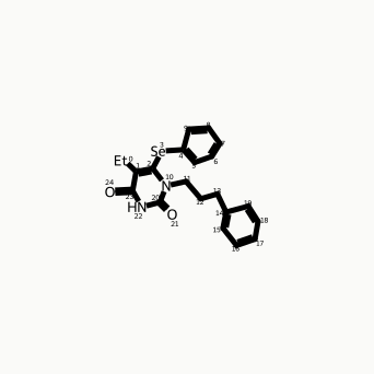 CCc1c([Se]c2ccccc2)n(CCCc2ccccc2)c(=O)[nH]c1=O